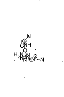 CN(C)CC=CC(=O)N1CCC[C@@H](n2nc(-c3ccc(C(=O)Nc4cc(C#N)ccn4)cc3)c3c(N)ncnc32)C1